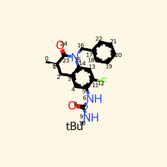 C[C@@H]1Cc2cc(NC(=O)NC(C)(C)C)c(F)cc2N(Cc2ccccc2)C1=O